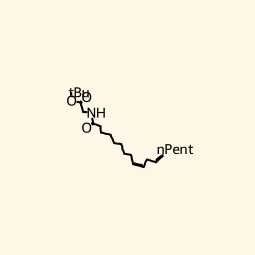 CCCCC/C=C\C/C=C\CCCCCCCC(=O)NCC(=O)OC(C)(C)C